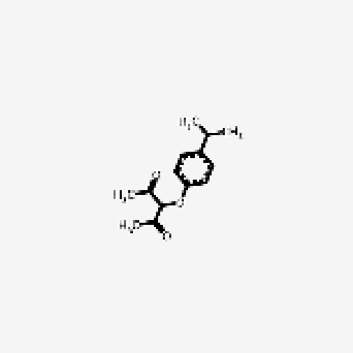 CC(=O)C(Oc1ccc(C(C)C)cc1)C(C)=O